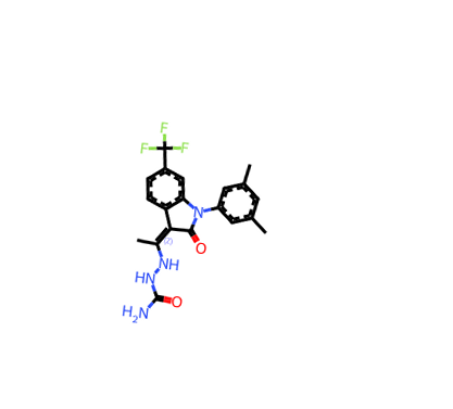 C/C(NNC(N)=O)=C1/C(=O)N(c2cc(C)cc(C)c2)c2cc(C(F)(F)F)ccc21